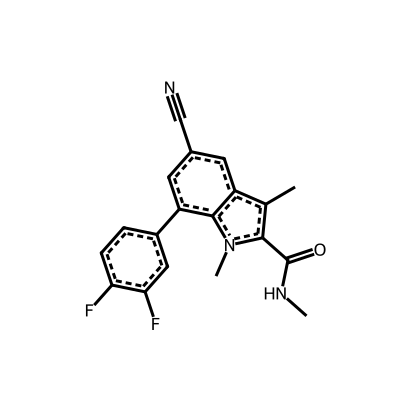 CNC(=O)c1c(C)c2cc(C#N)cc(-c3ccc(F)c(F)c3)c2n1C